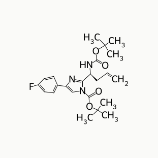 C=CC[C@H](NC(=O)OC(C)(C)C)c1nc(-c2ccc(F)cc2)cn1C(=O)OC(C)(C)C